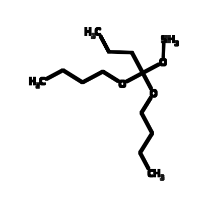 CCCCOC(CCC)(O[SiH3])OCCCC